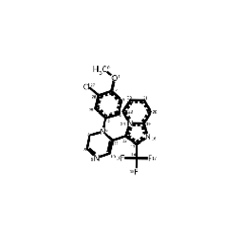 COc1ccc(N2CC=NC=C2c2c(C(F)(F)F)nc3ccccn23)cc1Cl